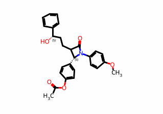 COc1ccc(N2C(=O)C(CC[C@H](O)c3ccccc3)[C@H]2c2ccc(OC(C)=O)cc2)cc1